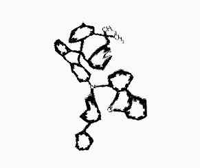 CC1(C)c2ccccc2C2(c3ccccc3-c3ccc(N(c4ccc(-c5ccccc5)cc4)c4cccc5c4oc4ccccc45)cc32)c2ccccc21